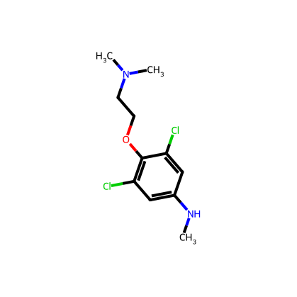 CNc1cc(Cl)c(OCCN(C)C)c(Cl)c1